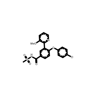 COc1cccnc1-c1cc(C(=O)NS(C)(=O)=O)ccc1Oc1ccc(Cl)cc1